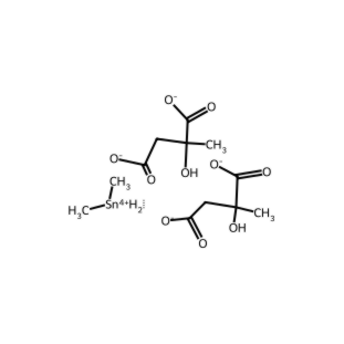 CC(O)(CC(=O)[O-])C(=O)[O-].CC(O)(CC(=O)[O-])C(=O)[O-].[CH3][SnH2+4][CH3]